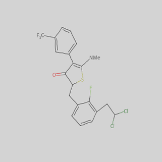 CNC1=C(c2cccc(C(F)(F)F)c2)C(=O)C(Cc2cccc(CC(Cl)Cl)c2F)S1